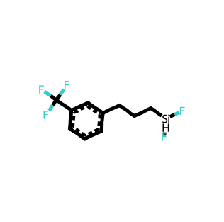 F[SiH](F)CCCc1cccc(C(F)(F)F)c1